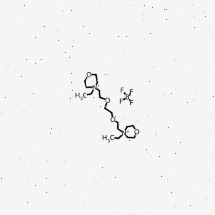 CC[N+]1(CCOCCOCC[N+]2(CC)CCOCC2)CCOCC1.F[B-](F)(F)F